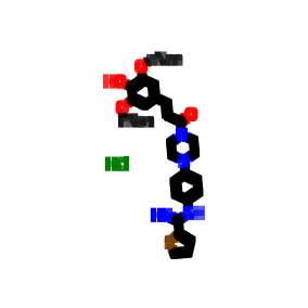 CCCCCCCCCOc1cc(/C=C/C(=O)N2CCN(c3ccc(NC(=N)c4cccs4)cc3)CC2)cc(OCCCCCCCCC)c1O.Cl